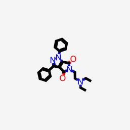 CCN(CC)CCN1C(=O)c2c(-c3ccccc3)nn(-c3ccccc3)c2C1=O